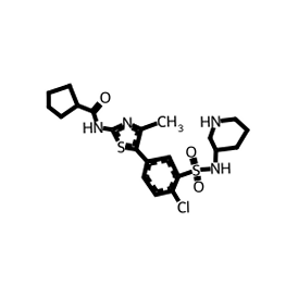 Cc1nc(NC(=O)C2CCCC2)sc1-c1ccc(Cl)c(S(=O)(=O)NC2CCCNC2)c1